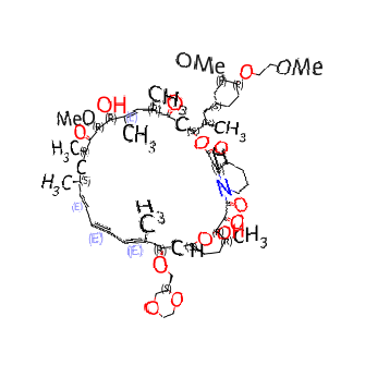 COCCO[C@@H]1CC[C@@H](C[C@@H](C)[C@@H]2CC(=O)[C@H](C)/C=C(\C)[C@@H](O)[C@@H](OC)C(=O)[C@H](C)C[C@H](C)/C=C/C=C/C=C(\C)[C@H](OC[C@@H]3COCCO3)C[C@@H]3CC[C@@H](C)[C@@](O)(O3)C(=O)C(=O)N3CCCC[C@H]3C(=O)O2)C[C@H]1OC